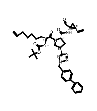 C=CCCCCC[C@H](NC(=O)OC(C)(C)C)C(=O)N1C[C@H](c2nnn(Cc3ccc(-c4ccccc4)cc3)n2)C[C@H]1C(=O)N[C@]1(C=O)C[C@H]1C=C